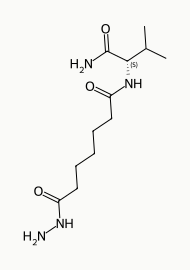 CC(C)[C@H](NC(=O)CCCCCC(=O)NN)C(N)=O